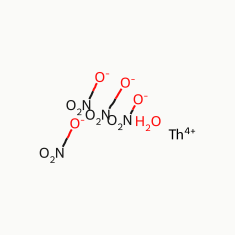 O.O=[N+]([O-])[O-].O=[N+]([O-])[O-].O=[N+]([O-])[O-].O=[N+]([O-])[O-].[Th+4]